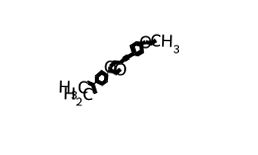 C=CC(CC)[C@H]1CC[C@H](C2COC(C#Cc3ccc(OCC)cc3)CO2)CC1